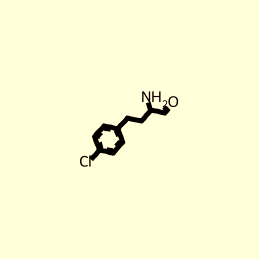 NC(C=O)CCc1ccc(Cl)cc1